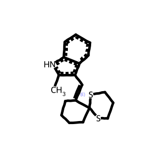 Cc1[nH]c2ccccc2c1/C=C1\CCCCC12SCCCS2